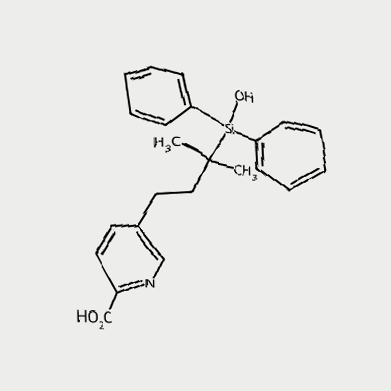 CC(C)(CCc1ccc(C(=O)O)nc1)[Si](O)(c1ccccc1)c1ccccc1